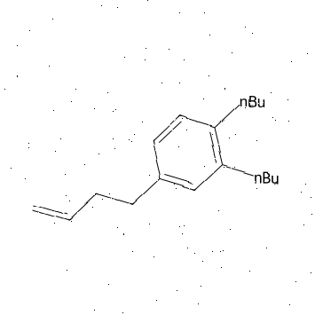 C=CCCc1ccc(CCCC)c(CCCC)c1